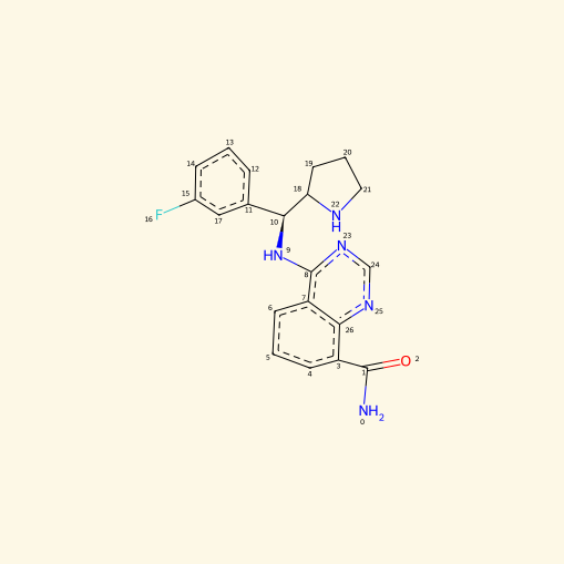 NC(=O)c1cccc2c(N[C@@H](c3cccc(F)c3)C3CCCN3)ncnc12